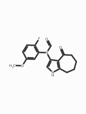 COc1ccc(F)c(N(C=O)c2c[nH]c3c2C(=O)CCCC3)c1